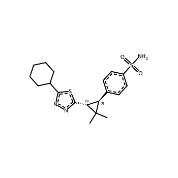 CC1(C)[C@H](c2ccc(S(N)(=O)=O)cc2)[C@H]1c1nnc(C2CCCCC2)s1